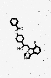 O=C(OC1CCC(C(O)CC2c3c(F)cccc3-c3cncn32)CC1)c1ccccc1